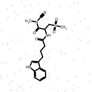 CN(C#N)C(=O)C(CS(C)(=O)=O)NC(=O)CCCc1c[nH]c2ccccc12